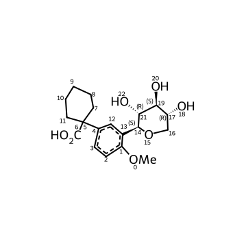 COc1ccc(C2(C(=O)O)CCCCC2)cc1[C@@H]1OC[C@@H](O)[C@H](O)[C@H]1O